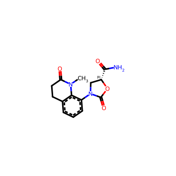 CN1C(=O)CCc2cccc(N3C[C@H](C(N)=O)OC3=O)c21